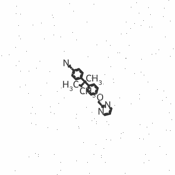 CC(C)C(C)(c1ccc(C#N)cc1)c1ccc(OCc2ncccn2)cc1